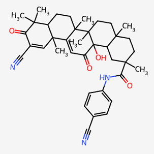 CC1(C(=O)Nc2ccc(C#N)cc2)CCC2(C)CCC3(C)C4(C)CCC5C(C)(C)C(=O)C(C#N)=CC5(C)C4=CC(=O)C3(O)C2C1